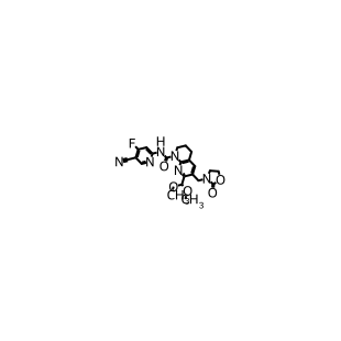 COC(OC)c1nc2c(cc1CN1CCOC1=O)CCCN2C(=O)Nc1cc(F)c(C#N)cn1